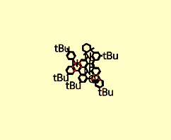 CC(C)(C)c1ccc(N(c2ccc(C(C)(C)C)cc2)c2cc3c4c(c2)N2c5c(cc(C(C)(C)C)cc5C5(C)CCCCC25C)B4c2ccc4c(oc5cc(C(C)(C)C)ccc54)c2N3c2c(-c3ccccc3)cc(C(C)(C)C)cc2-c2ccccc2)cc1